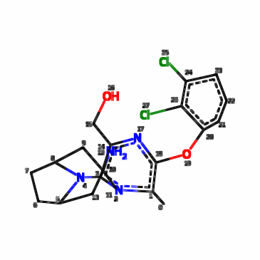 Cc1nc(N2C3CCC2CC(C)(N)C3)c(CO)nc1Oc1cccc(Cl)c1Cl